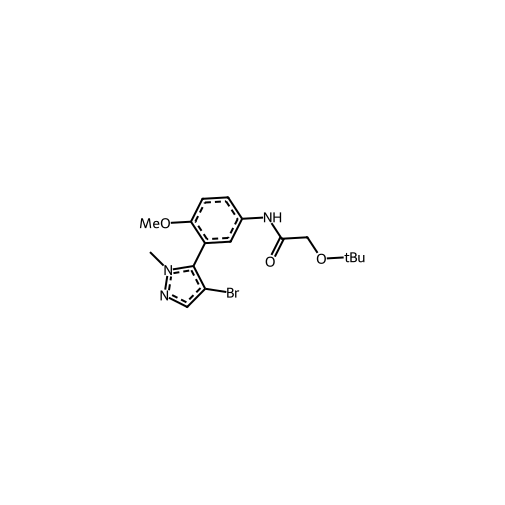 COc1ccc(NC(=O)COC(C)(C)C)cc1-c1c(Br)cnn1C